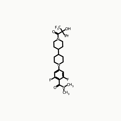 CC(C)C(O)(C(=O)N1CCC(C2CCN(c3cc(F)c(C(=O)N(C)C)c(F)c3)CC2)CC1)C(F)(F)F